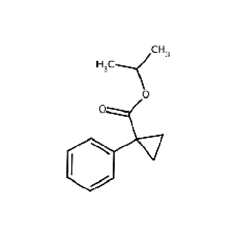 CC(C)OC(=O)C1(c2ccccc2)CC1